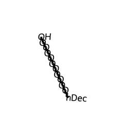 CCCCCCCCCCCCCOCCOCCOCCOCCOCCOCCOCCOCCOCCOCCO